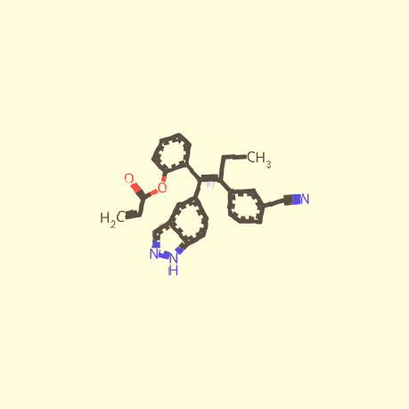 C=CC(=O)Oc1ccccc1/C(=C(\CC)c1cccc(C#N)c1)c1ccc2[nH]ncc2c1